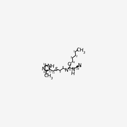 CCCCCO/C(=N\CCSCc1[nH]cnc1C)NC#N